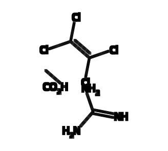 CC(=O)O.ClC(Cl)=C(Cl)Cl.N=C(N)N